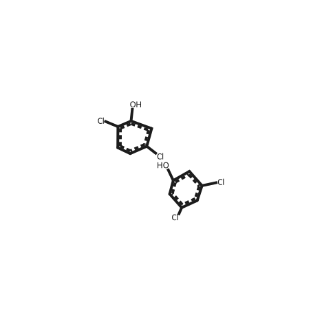 Oc1cc(Cl)cc(Cl)c1.Oc1cc(Cl)ccc1Cl